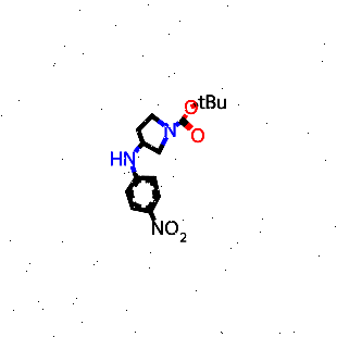 CC(C)(C)OC(=O)N1CCC(Nc2ccc([N+](=O)[O-])cc2)C1